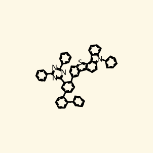 c1ccc(-c2nc(-c3ccccc3)nc(-c3cc(-c4ccccc4-c4ccccc4)ccc3-c3ccc4sc5c(ccc6c5c5ccccc5n6-c5ccccc5)c4c3)n2)cc1